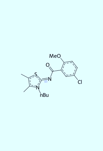 CCCCn1c(C)c(C)s/c1=N\C(=O)c1cc(Cl)ccc1OC